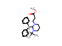 COC(=O)CCN1CCCN(C(C)(C)C)C1[SiH](c1ccccc1)c1ccccc1